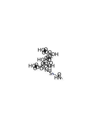 CCNC(=O)CC/C=C/SCCNC[C@@H]1O[C@H](COS(=O)(=O)O)[C@H](O[C@@H]2OC(C(=O)O)[C@@H](O[C@@H]3OC(COS(=O)(=O)O)[C@@H](OC)[C@H](O)C3C)[C@H](O)C2O)C1O